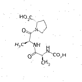 C[C@H](NC(=O)O)C(=O)N[C@@H](C)C(=O)N1CCC[C@H]1C(=O)O